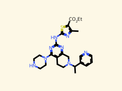 CCOC(=O)c1sc(Nc2nc3c(c(N4CCNCC4)n2)CCN(C(C)c2cccnc2)C3)nc1C